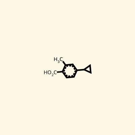 Cc1cc(C2CC2)ccc1C(=O)O